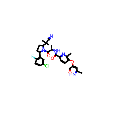 CC(=N)/C=C(\C=O)Oc1ccc(C(=O)N[C@H](C)C(=O)N2C(c3cc(Cl)ccc3F)CCC2C(C)(C)C#N)nc1C